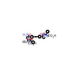 CN(C(=O)O)[C@H](C(=O)N1CCC[C@@]1(C(N)=O)c1ccc(C#Cc2ccc([C@]3(C(N)=O)CCCN3C(=O)[C@H](c3ccccc3)N(C(=O)O)C(C(C)(C)C)C(C)(C)C)cc2)cc1)c1ccccc1